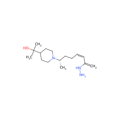 C=C(/C=C\CC[C@H](C)N1CCC(C(C)(C)O)CC1)NN